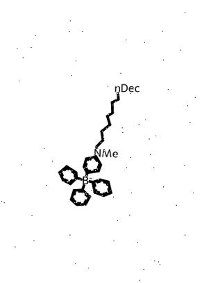 CCCCCCCCCCCCCCCCCC[NH2+]C.c1ccc([B-](c2ccccc2)(c2ccccc2)c2ccccc2)cc1